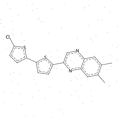 Cc1cc2ncc(-c3ccc(-c4ccc(Cl)s4)s3)nc2cc1C